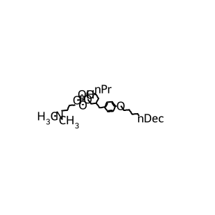 CCCCCCCCCCCCCCOc1ccc(CC(COP(=O)(O)OCCCCN(C)C)CC(=O)CCC)cc1